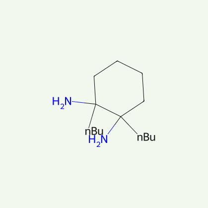 CCCCC1(N)CCCCC1(N)CCCC